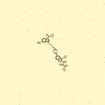 N#Cc1ccc2c(c1)c(CCCCN1CCN(c3ccc4oc(C(=O)NC(=O)C5CCC5)c(C5CCC5)c4c3)CC1)cn2C(=O)C1CCC1